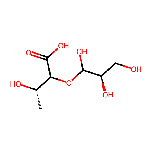 C[C@H](O)C(OC(O)[C@H](O)CO)C(=O)O